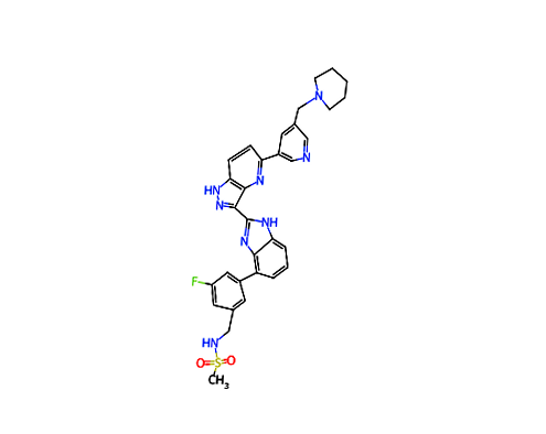 CS(=O)(=O)NCc1cc(F)cc(-c2cccc3[nH]c(-c4n[nH]c5ccc(-c6cncc(CN7CCCCC7)c6)nc45)nc23)c1